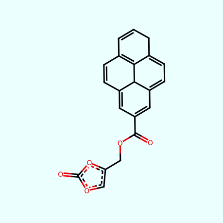 O=C(OCc1coc(=O)o1)C1=CC2=CC=C3CC=CC4=C3C2C(=C1)C=C4